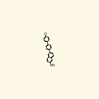 CCCc1ccc2cc(-c3ccc(-c4ccc(Cl)cc4)cc3)ccc2c1